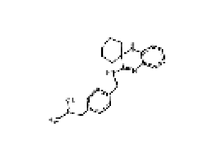 CN(C)Cc1ccc(CNC2=Nc3ccccc3NC23CCSCC3)cc1